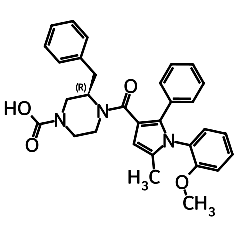 COc1ccccc1-n1c(C)cc(C(=O)N2CCN(C(=O)O)C[C@H]2Cc2ccccc2)c1-c1ccccc1